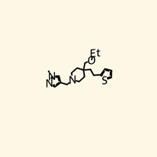 CCOCC1(CCc2cccs2)CCN(Cc2cnn(C)c2)CC1